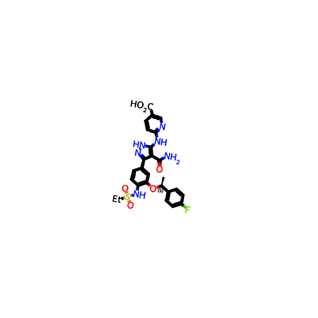 CCS(=O)(=O)Nc1ccc(-c2n[nH]c(Nc3ccc(C(=O)O)cn3)c2C(N)=O)cc1O[C@@H](C)c1ccc(F)cc1